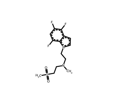 CN(CCn1ccc2c(F)c(F)cc(F)c21)CCS(C)(=O)=O